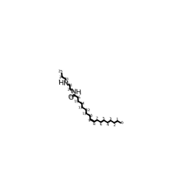 CCCCCCCC/C=C\CCCCCCCC(=O)NCCNCCC